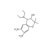 CCN(CC)C1c2cc(N)c(N)cc2OC(C)(C)C1O